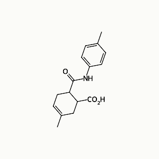 CC1=CCC(C(=O)Nc2ccc(C)cc2)C(C(=O)O)C1